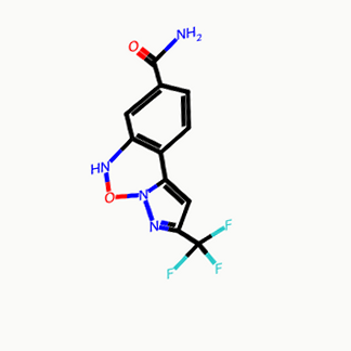 NC(=O)c1ccc2c(c1)NOn1nc(C(F)(F)F)cc1-2